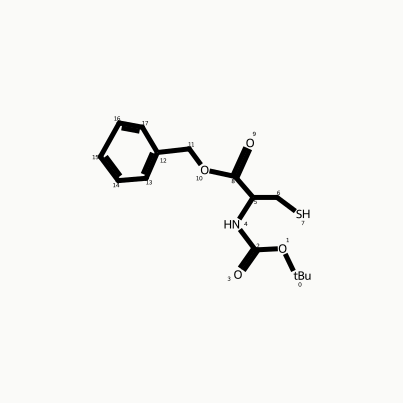 CC(C)(C)OC(=O)NC(CS)C(=O)OCc1ccccc1